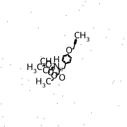 CC#CCOc1ccc(C[C@H](NC(=O)OC(C)(C)C)C(=O)OCC)cc1